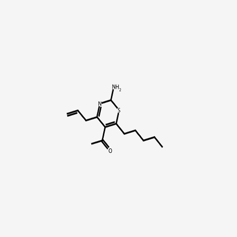 C=CCC1=NC(N)SC(CCCCC)=C1C(C)=O